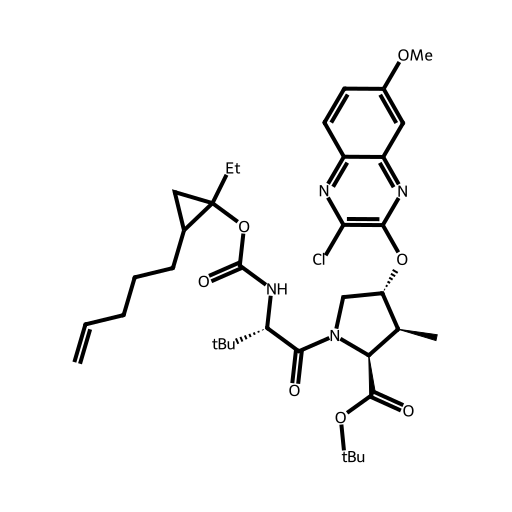 C=CCCCC1CC1(CC)OC(=O)N[C@H](C(=O)N1C[C@H](Oc2nc3cc(OC)ccc3nc2Cl)[C@@H](C)[C@H]1C(=O)OC(C)(C)C)C(C)(C)C